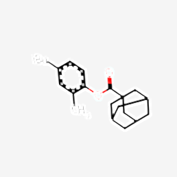 CCC(C)c1ccc(OC(=O)C23CC4CC(CC(C4)C2)C3)c(C)c1